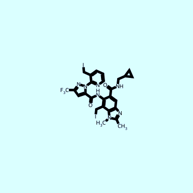 Cc1nc2cc(C(=O)NCC3CC3)c(NC(=O)c3cc(C(F)(F)F)nn3-c3ncccc3CI)c(CI)c2n1C